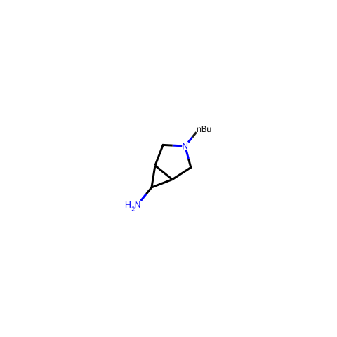 CCCCN1CC2C(N)C2C1